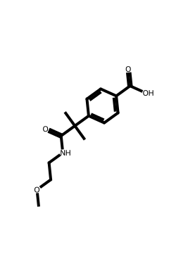 COCCNC(=O)C(C)(C)c1ccc(C(=O)O)cc1